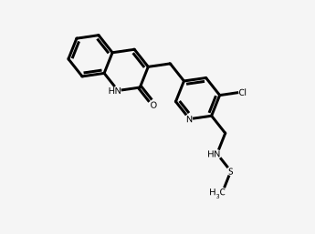 CSNCc1ncc(Cc2cc3ccccc3[nH]c2=O)cc1Cl